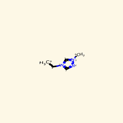 CCn1cn[n+](C)c1